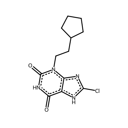 O=c1[nH]c(=O)n(CCC2CCCC2)c2nc(Cl)[nH]c12